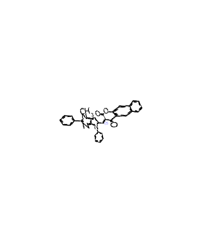 Cn1c(-c2ccccc2)nc2c1cc(/C=C1\C(=O)Oc3cc4ccccc4cc3C1=O)n2-c1ccccc1